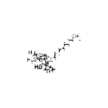 CCCCCCCCCCCCN(C(=O)OC(C)(C)CC)C(CO)(CO)CO